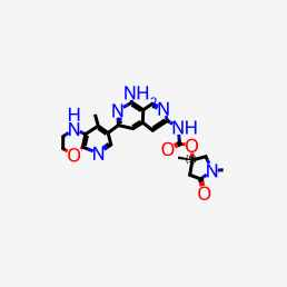 Cc1c(-c2cc3cc(NC(=O)O[C@@]4(C)CC(=O)N(C)C4)ncc3c(N)n2)cnc2c1NCCO2